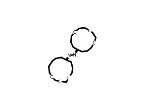 C1CCCCCCC(=NN=C2CCCCCCCCCCCCC2)CCCCCC1